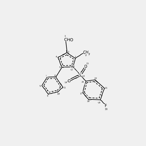 Cc1c(C=O)cc(-c2ccccc2)n1S(=O)(=O)c1ccc(F)cc1